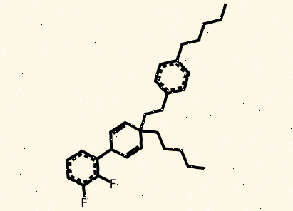 CCCCCc1ccc(CCC2(CCCCC)C=CC(c3cccc(F)c3F)C=C2)cc1